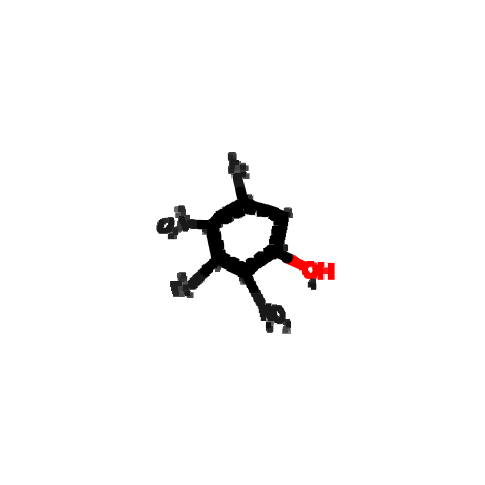 CCc1cc(O)c([N+](=O)[O-])c(CC)c1[N+](=O)[O-]